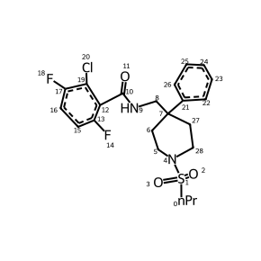 CCCS(=O)(=O)N1CCC(CNC(=O)c2c(F)ccc(F)c2Cl)(c2ccccc2)CC1